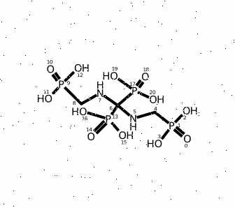 O=P(O)(O)CNC(NCP(=O)(O)O)(P(=O)(O)O)P(=O)(O)O